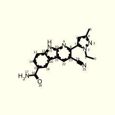 CCn1nc(C)cc1-c1nc2[nH]c3ccc(C(N)=O)cc3c2cc1C#N